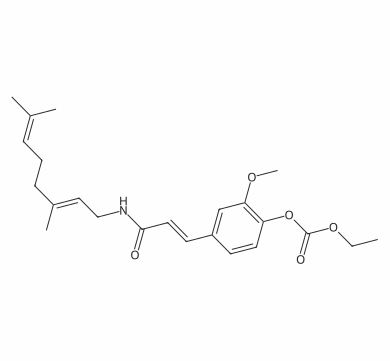 CCOC(=O)Oc1ccc(/C=C/C(=O)NC/C=C(\C)CCC=C(C)C)cc1OC